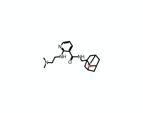 CN(C)CCNc1ncccc1C(=O)NCC12CC3CC(CC(C3)C1)C2